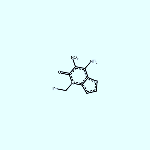 CC(C)Cn1c(=O)c([N+](=O)[O-])c(N)c2sccc21